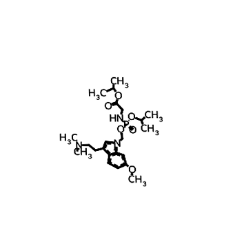 COc1ccc2c(CCN(C)C)cn(COP(=O)(NCC(=O)OC(C)C)OC(C)C)c2c1